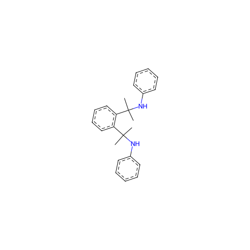 CC(C)(Nc1ccccc1)c1ccccc1C(C)(C)Nc1ccccc1